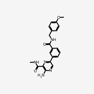 CNC(=O)c1nc(-c2cccc(C(=O)NCc3ccc(OC)cc3)c2)cnc1N